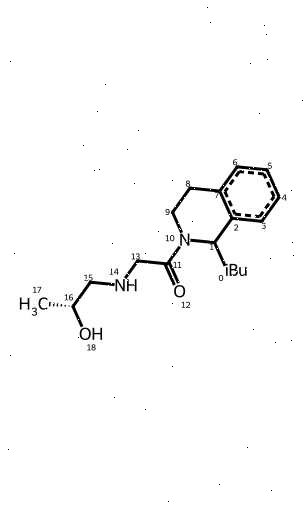 CCC(C)C1c2ccccc2CCN1C(=O)CNC[C@@H](C)O